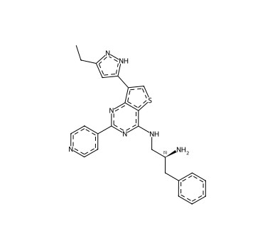 CCc1cc(-c2csc3c(NC[C@@H](N)Cc4ccccc4)nc(-c4ccncc4)nc23)[nH]n1